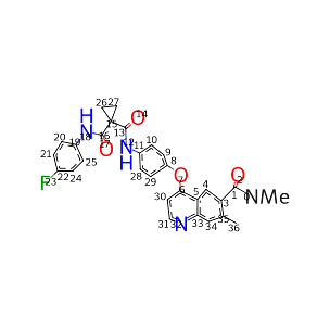 CNC(=O)c1cc2c(Oc3ccc(NC(=O)C4(C(=O)Nc5ccc(F)cc5)CC4)cc3)ccnc2cc1C